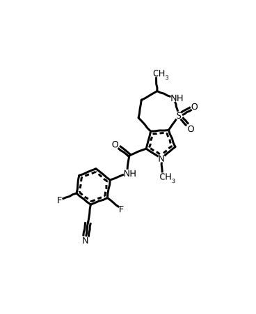 CC1CCc2c(cn(C)c2C(=O)Nc2ccc(F)c(C#N)c2F)S(=O)(=O)N1